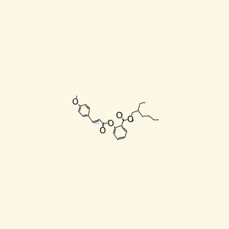 CCCCC(CC)COC(=O)c1ccccc1OC(=O)/C=C/c1ccc(OC)cc1